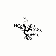 CC=CC(CC(CCCC)CCCCCC)(CC(CCCC)CCCCCC)OPO